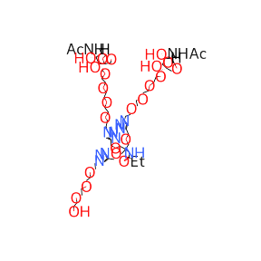 CCC(=O)NC(COCc1cn(CCOCCOCCOCCO)nn1)(COCc1cn(CCOCCOCCOCCOC[C@@]23CO[C@@H](O2)[C@H](NC(C)=O)[C@@H](O)[C@H]3O)nn1)COCc1cn(CCOCCOCCOCCOC[C@@]23CO[C@@H](O2)[C@H](NC(C)=O)[C@@H](O)[C@H]3O)nn1